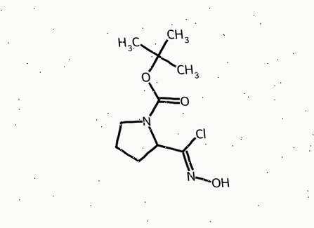 CC(C)(C)OC(=O)N1CCCC1C(Cl)=NO